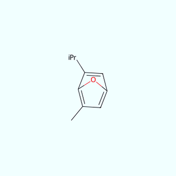 Cc1cc2cc(C(C)C)c1o2